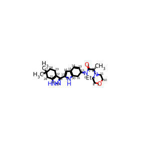 CCN(C(=O)[C@H](C)N1CCOCC1)C1C=Cc2cc(-c3n[nH]c4c3CCC(C)(C)C4)[nH]c2C1